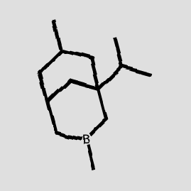 CB1CC2CC(C)CC(C(C)C)(C1)C2